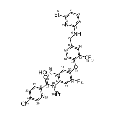 CCc1cccc(NCc2ccc(Oc3cc(C(=O)O)c(N(C(=O)c4ccc(Cl)cn4)C(C)C)cc3F)c(C(F)(F)F)c2)n1